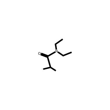 [CH2]C(C)C(=O)N(CC)CC